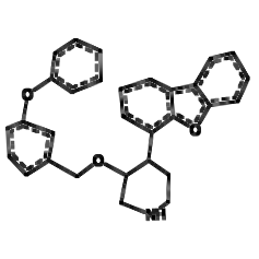 c1ccc(Oc2cccc(COC3CNCCC3c3cccc4c3oc3ccccc34)c2)cc1